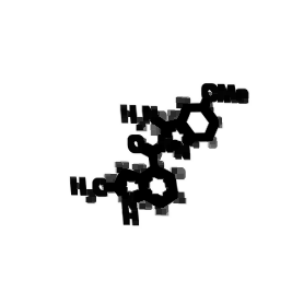 COC1CCc2nn(C(=O)c3cccc4[nH]c(C)cc34)c(N)c2C1